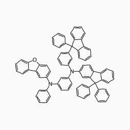 c1ccc(N(c2cccc(N(c3cccc(C4(c5ccccc5)c5ccccc5-c5ccccc54)c3)c3ccc4c(c3)C(c3ccccc3)(c3ccccc3)c3ccccc3-4)c2)c2ccc3oc4ccccc4c3c2)cc1